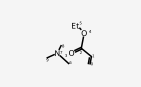 C=CC(=O)OCC.CN(C)C